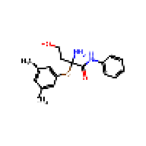 Cc1cc(C)cc(SC(N)(CCO)C(=O)Nc2ccccc2)c1